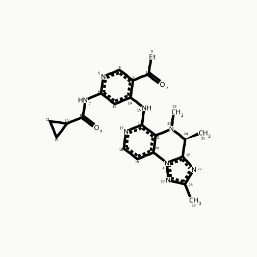 CCC(=O)c1cnc(NC(=O)C2CC2)cc1Nc1nccc2c1N(C)[C@@H](C)c1nc(C)nn1-2